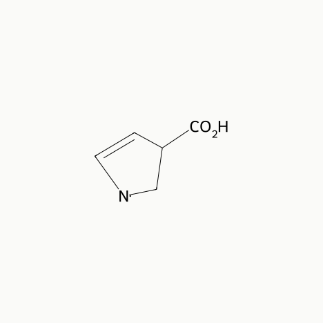 O=C(O)C1C=C[N]C1